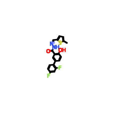 Cc1ccc(/C=N\NC(=O)c2cc(-c3ccc(F)cc3F)ccc2O)s1